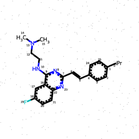 CC(C)c1ccc(C=Cc2nc(NCCN(C)C)c3cc(F)ccc3n2)cc1